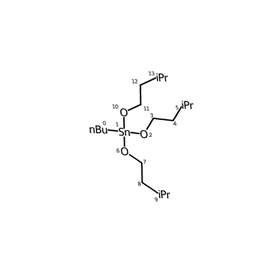 CCC[CH2][Sn]([O]CCC(C)C)([O]CCC(C)C)[O]CCC(C)C